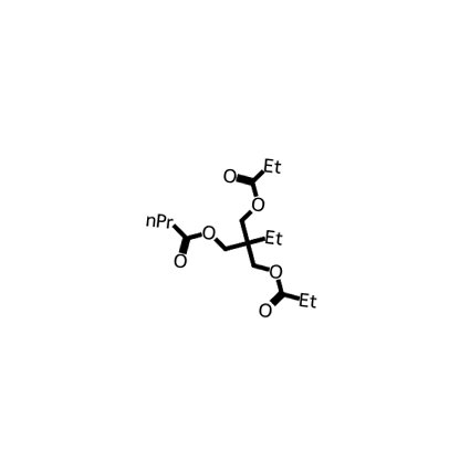 CCCC(=O)OCC(CC)(COC(=O)CC)COC(=O)CC